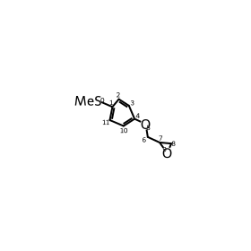 CSc1ccc(OCC2CO2)cc1